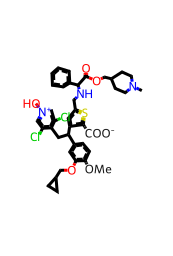 COc1ccc(C(Cc2c(Cl)c[n+](O)cc2Cl)c2cc(CNC(C(=O)OCC3CCN(C)CC3)c3ccccc3)sc2C(=O)[O-])cc1OCC1CC1